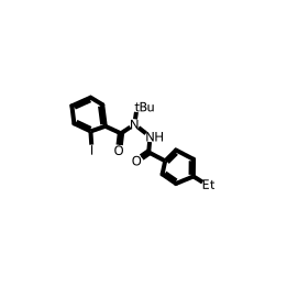 CCc1ccc(C(=O)NN(C(=O)c2ccccc2I)C(C)(C)C)cc1